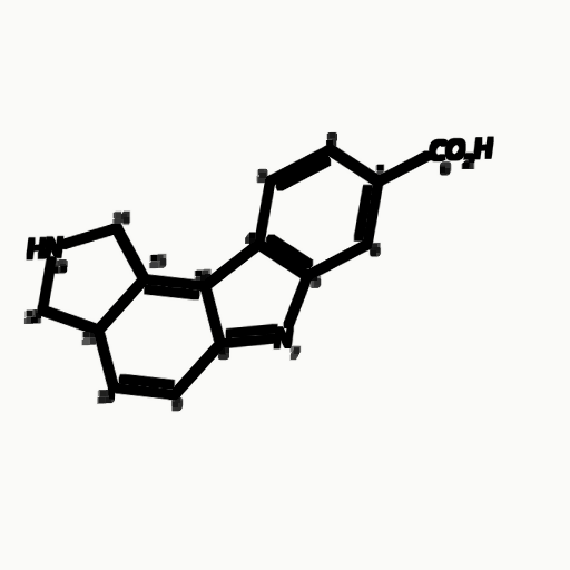 O=C(O)c1ccc2c(c1)N=C1C=CC3CNCC3=C12